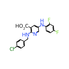 O=C(O)c1cc(Nc2ccc(F)cc2F)cnc1NCc1ccc(Cl)cc1